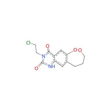 O=c1[nH]c2cc3c(cc2c(=O)n1CCCl)OOCCC3